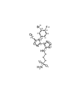 NS(=O)(=O)CCCNc1nonc1C1=NOC(=C=O)N1c1ccc(F)c(Br)c1